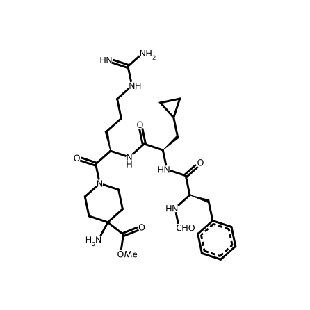 COC(=O)C1(N)CCN(C(=O)[C@@H](CCCNC(=N)N)NC(=O)[C@@H](CC2CC2)NC(=O)[C@@H](Cc2ccccc2)NC=O)CC1